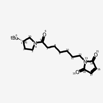 CC(C)(C)[C@H]1CCN(C(=O)CCCCCCN2C(=O)C=CC2=O)C1